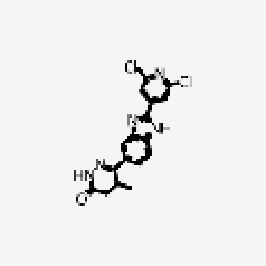 CC1CC(=O)NN=C1c1ccc2[nH]c(-c3cc(Cl)nc(Cl)c3)nc2c1